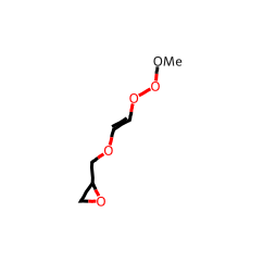 COOOC=COCC1CO1